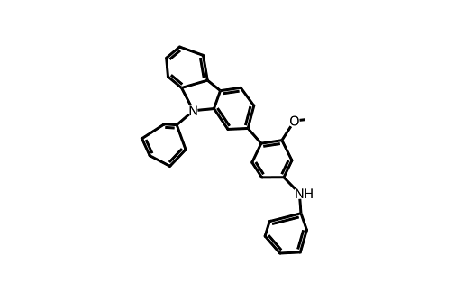 COc1cc(Nc2ccccc2)ccc1-c1ccc2c3ccccc3n(-c3ccccc3)c2c1